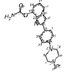 CC(C)N1CCN(c2ccc(-c3cn4cccc(OC(N)=O)c4n3)cc2)CC1